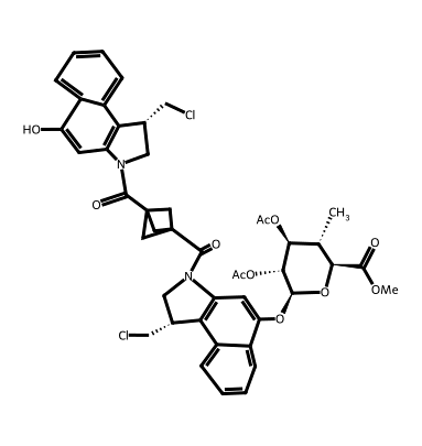 COC(=O)[C@H]1O[C@@H](Oc2cc3c(c4ccccc24)[C@H](CCl)CN3C(=O)C23CC(C(=O)N4C[C@@H](CCl)c5c4cc(O)c4ccccc54)(C2)C3)[C@H](OC(C)=O)[C@@H](OC(C)=O)[C@@H]1C